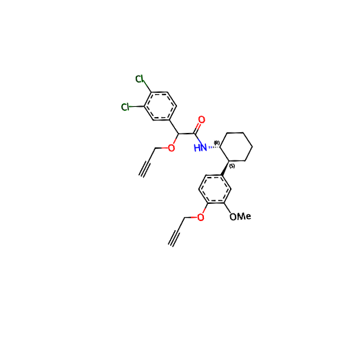 C#CCOc1ccc([C@@H]2CCCC[C@H]2NC(=O)C(OCC#C)c2ccc(Cl)c(Cl)c2)cc1OC